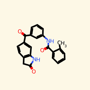 Cc1ccccc1C(=O)Nc1cccc(C(=O)c2ccc3c(c2)NC(=O)C3)c1